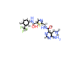 Cc1ccc(NC(O)c2cnc(CNC(=O)c3ncnc(N)c3CN(C)C)s2)cc1C(F)(F)F